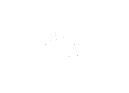 CCOP(=O)(CCC(C)(C)OCCC(C)(C)OCCO)OCC